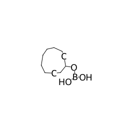 OB(O)OC1CCCCCCCCC1